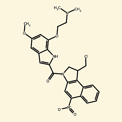 COc1cc(OCCN(C)C)c2[nH]c(C(=O)N3CC(CCl)c4c3cc([N+](=O)[O-])c3ccccc43)cc2c1